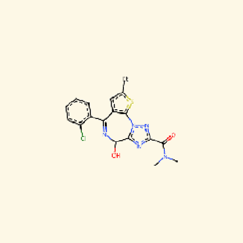 CCc1cc2c(s1)-n1nc(C(=O)N(C)C)nc1C(O)N=C2c1ccccc1Cl